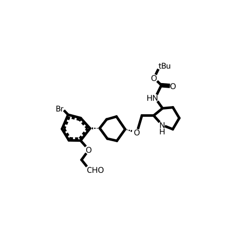 CC(C)(C)OC(=O)NC1CCCNC1CO[C@H]1CC[C@@H](c2cc(Br)ccc2OCC=O)CC1